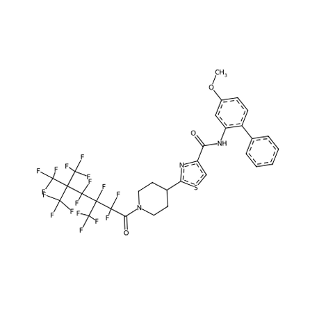 COc1ccc(-c2ccccc2)c(NC(=O)c2csc(C3CCN(C(=O)C(F)(F)C(F)(C(F)(F)F)C(F)(F)C(C(F)(F)F)(C(F)(F)F)C(F)(F)F)CC3)n2)c1